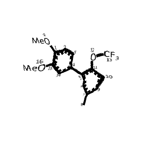 COc1ccc(-c2cc(C)ccc2OC(F)(F)F)cc1OC